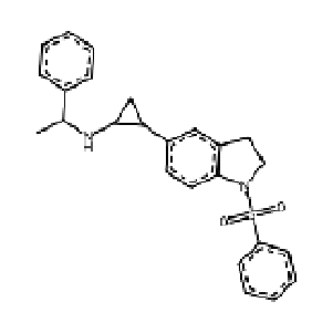 CC(NC1CC1c1ccc2c(c1)CCN2S(=O)(=O)c1ccccc1)c1ccccc1